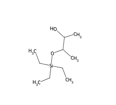 CC[Si](CC)(CC)OC(C)[C](C)O